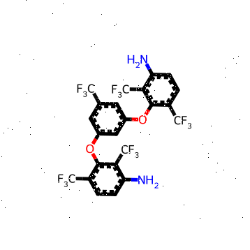 Nc1ccc(C(F)(F)F)c(Oc2cc(Oc3c(C(F)(F)F)ccc(N)c3C(F)(F)F)cc(C(F)(F)F)c2)c1C(F)(F)F